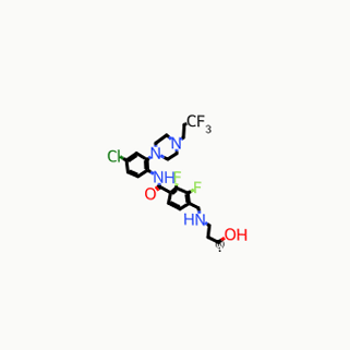 C[C@@H](O)CCNCc1ccc(C(=O)Nc2ccc(Cl)cc2N2CCN(CCC(F)(F)F)CC2)c(F)c1F